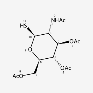 CC(=O)N[C@@H]1[C@@H](OC(C)=O)[C@H](OC(C)=O)[C@@H](COC(C)=O)O[C@H]1S